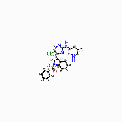 CC1CNCC(Nc2ncc(Cl)c(-c3cn(S(=O)(=O)c4ccccc4)c4ccccc34)n2)C1